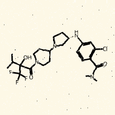 CC(C)C(O)(C(=O)N1CCC(N2CC[C@H](Nc3ccc(C(=O)N(C)C)c(Cl)c3)C2)CC1)C(F)(F)F